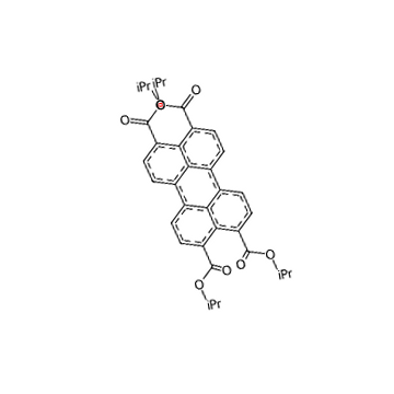 CC(C)OC(=O)c1ccc2c3ccc(C(=O)OC(C)C)c4c(C(=O)OC(C)C)ccc(c5ccc(C(=O)OC(C)C)c1c25)c43